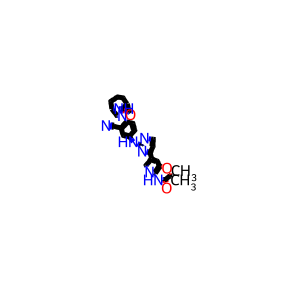 CC1(C)Oc2cc(-c3ccnc(Nc4ccc(N5CC6CCCC(C5)C(=O)N6)c(C#N)c4)n3)cnc2NC1=O